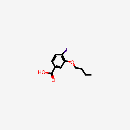 CCCCOc1cc(C(=O)O)ccc1I